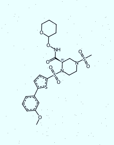 COc1cccc(-c2ccc(S(=O)(=O)N3CCN(S(C)(=O)=O)C[C@@H]3C(=O)NOC3CCCCO3)s2)c1